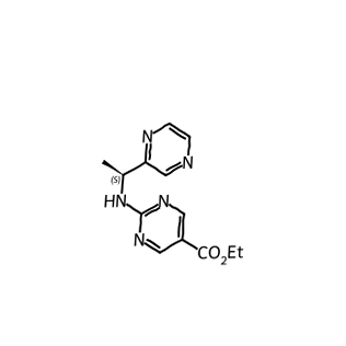 CCOC(=O)c1cnc(N[C@@H](C)c2cnccn2)nc1